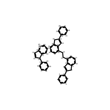 C1=C(c2ccccc2)Cc2cccc(CCc3cccc4c3C=C(c3ccccc3)C4)c21.C1=CC(c2ccccc2)c2cccnc21